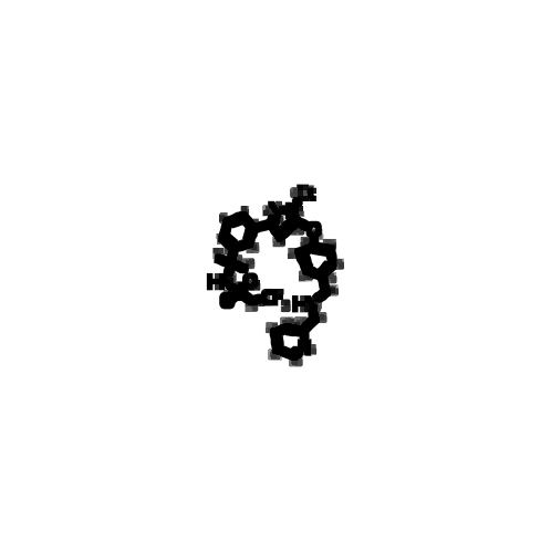 CCn1nc(-c2cccc(C(C)(C)NS(=O)(=O)CC(F)(F)F)c2)cc1Oc1ccc(CNCc2ccccn2)cc1